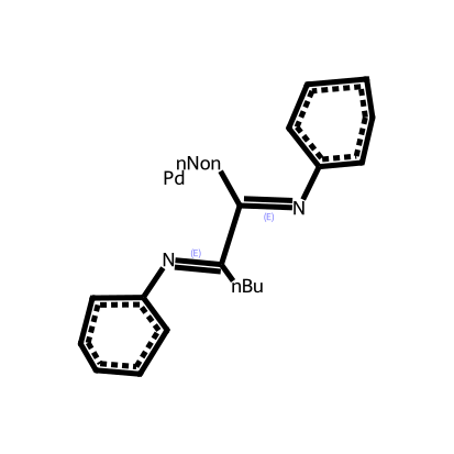 CCCCCCCCCC(=N\c1ccccc1)/C(CCCC)=N/c1ccccc1.[Pd]